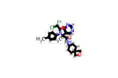 Cc1ccc(N(C(=O)[C@H](F)Cl)[C@](C)(C(=O)NC2CCC3(CC2)COC3)c2cncnc2)cc1